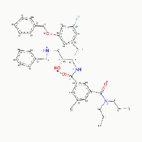 CCCN(CCC)C(=O)c1cc(C)cc(C(=O)N[C@@H](Cc2cc(F)cc(OCc3ccccc3)c2)[C@H](O)CNCc2ccccc2)c1